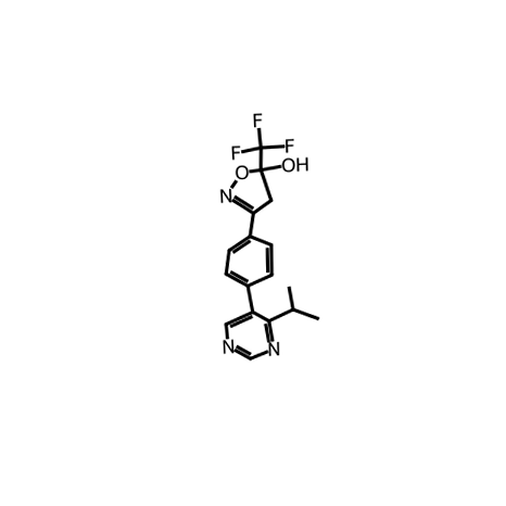 CC(C)c1ncncc1-c1ccc(C2=NOC(O)(C(F)(F)F)C2)cc1